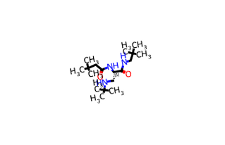 CC(C)(C)CNC(=O)[C@H](CNC(C)(C)C)NC(=O)CC(C)(C)C